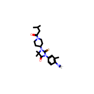 [C-]#[N+]c1ccc(N2C(=O)C(C)(C)N(C3CCN(C(=O)CC(C)C)CC3)C2=S)cc1C